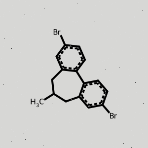 CC1Cc2cc(Br)ccc2-c2ccc(Br)cc2C1